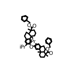 CC(C)c1cc2c(cc1Oc1cc3c(cc1C(C)C)CCC1C(C)(C(=O)OCc4ccccc4)CCCC31C)C1(C)CCCC(C)(C(=O)OCc3ccccc3)C1CC2